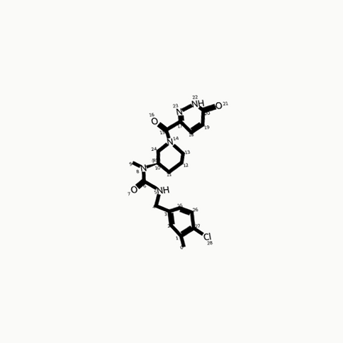 Cc1cc(CNC(=O)N(C)[C@@H]2CCCN(C(=O)c3ccc(=O)[nH]n3)C2)ccc1Cl